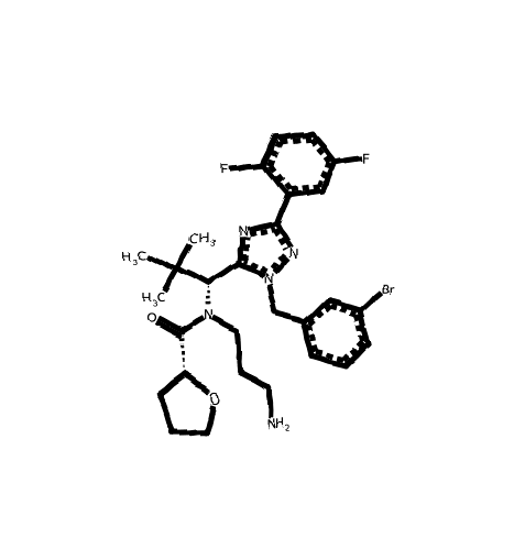 CC(C)(C)[C@H](c1nc(-c2cc(F)ccc2F)nn1Cc1cccc(Br)c1)N(CCCN)C(=O)[C@H]1CCCO1